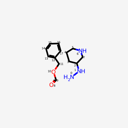 NNC1CCCNC1.O=COCc1ccccc1